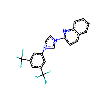 FC(F)(F)c1cc(-n2cc[n+](-c3ccc4ccccc4n3)c2)cc(C(F)(F)F)c1